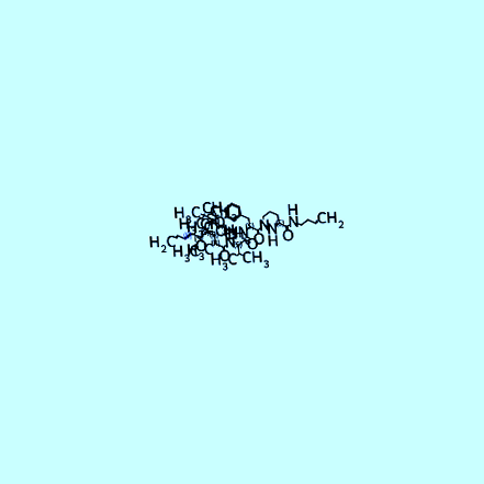 C=C/C=C/[C@H](OC)[C@H](C)[C@@H](OC)[C@@H](C)C(=O)N[C@H](C(=O)N[C@@H](Cc1cccc(O[Si](C)(C)C(C)(C)C)c1)C(=O)N1CCC[C@@H](C(=O)NCCC=C)N1)C(C)C